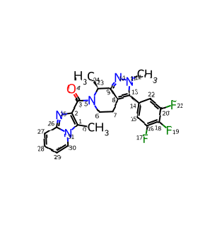 Cc1c(C(=O)N2CCc3c(nn(C)c3-c3cc(F)c(F)c(F)c3)[C@@H]2C)nc2ccccn12